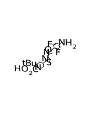 CC(C)(C)C1CC(c2nc(C3=NOC(c4c(F)cc(N)cc4F)C3)cs2)CCN1C(=O)O